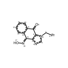 CC(C)Cn1cnc2c1C(=O)c1ccccc1/C2=N\O